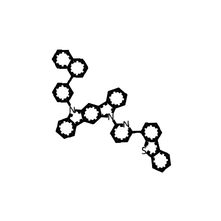 c1cc(-c2cccc3ccccc23)cc(-n2c3ccccc3c3cc4c(cc32)c2ccccc2n4-c2cccc(-c3cccc4c3sc3ccccc34)n2)c1